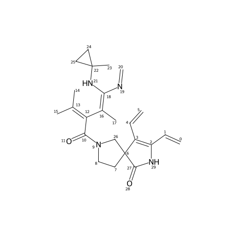 C=CC1=C(C=C)C2(CCN(C(=O)C(=C(C)C)/C(C)=C(/N=C)NC3(C)CC3)C2)C(=O)N1